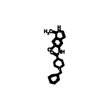 C=C1NC=Cc2cc(NC(=O)C3CCN(Cc4ccccc4)CC3)c(Cl)cc21